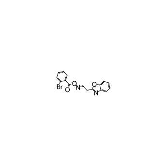 O=C(ON=CCc1nc2ccccc2o1)c1ccccc1Br